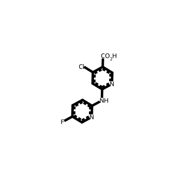 O=C(O)c1cnc(Nc2ccc(F)cn2)cc1Cl